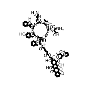 COc1cccc2c1C(=O)c1c(O)c3c(c(O)c1C2=O)C[C@@](O)(C(=O)COC(=O)CCCC(=O)N[C@H](Cc1ccccc1)C(=O)N[C@H]1CSSC[C@@H](C(=O)N[C@H](C(N)=O)[C@@H](C)O)N=C(O)[C@H](C(C)C)N=C(O)[C@H](CCCCN)N=C(O)[C@@H](Cc2c[nH]c4ccccc24)N=C(O)[C@H](Cc2ccc(O)cc2)N=C1O)C[C@@H]3O[C@H]1C[C@H](N2C=CCC2)[C@H](O)[C@H](C)O1